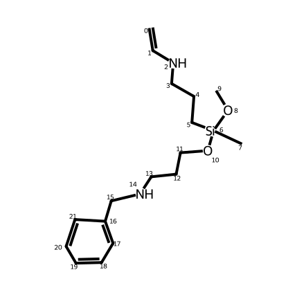 C=CNCCC[Si](C)(OC)OCCCNCc1ccccc1